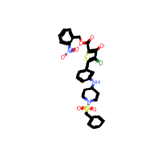 [O]c1c(C(=O)OCc2ccccc2[N+](=O)[O-])sc(-c2cccc(NC3CCN(S(=O)(=O)Cc4ccccc4)CC3)c2)c1Cl